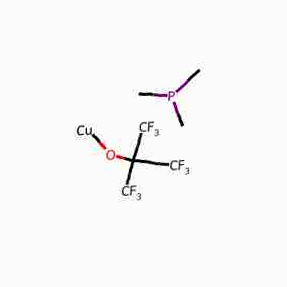 CP(C)C.FC(F)(F)C([O][Cu])(C(F)(F)F)C(F)(F)F